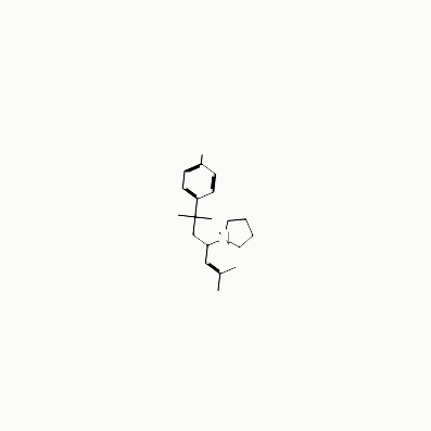 CC(C)=CC(CC(C)(C)c1ccc(F)cc1)N1CCCC1